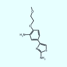 COCCOc1ccc(-c2csc(N)n2)cc1N